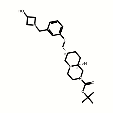 CC(C)(C)OC(=O)N1CCN2C[C@H](COc3cccc(CN4CC(O)C4)c3)CC[C@H]2C1